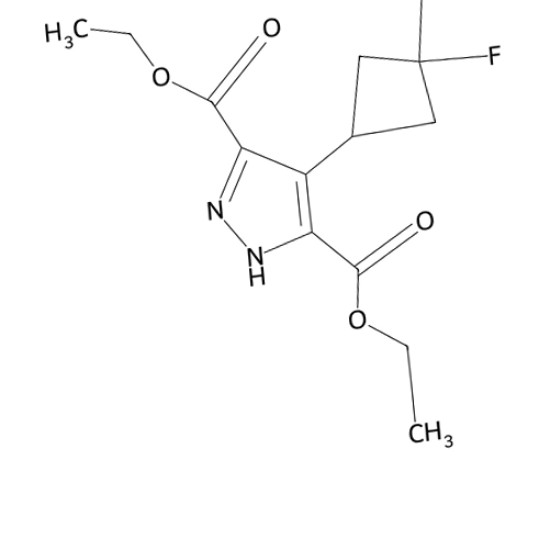 CCOC(=O)c1n[nH]c(C(=O)OCC)c1C1CC(F)(F)C1